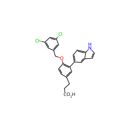 O=C(O)CCc1ccc(OCc2cc(Cl)cc(Cl)c2)c(-c2ccc3[nH]ccc3c2)c1